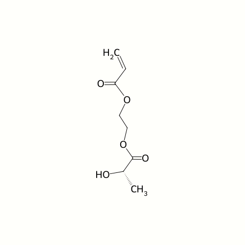 C=CC(=O)OCCOC(=O)[C@H](C)O